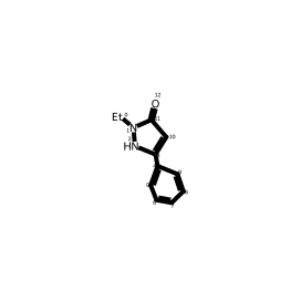 CCn1[nH]c(-c2ccccc2)cc1=O